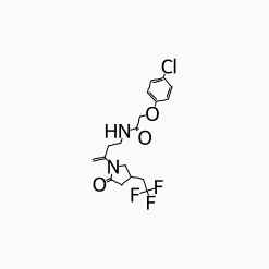 C=C(CCNC(=O)COc1ccc(Cl)cc1)N1CC(CC(F)(F)F)CC1=O